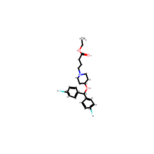 CCOC(=O)CCCN1CCC(OC(c2ccc(F)cc2)c2ccc(F)cc2)CC1